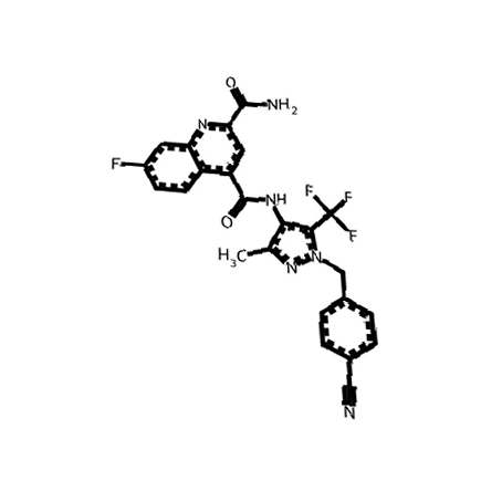 Cc1nn(Cc2ccc(C#N)cc2)c(C(F)(F)F)c1NC(=O)c1cc(C(N)=O)nc2cc(F)ccc12